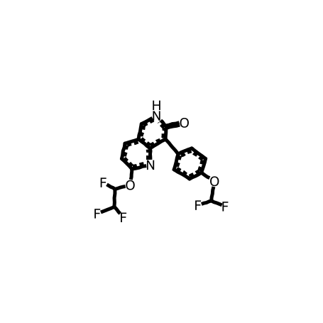 O=c1[nH]cc2ccc(OC(F)C(F)F)nc2c1-c1ccc(OC(F)F)cc1